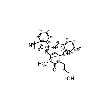 CN1C(=O)N(CCCO)C(O)c2c1nc(C1C=CC=CC1(C)C#N)n2Cc1ccc(F)cc1